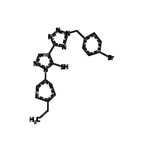 CCc1ccc(-n2ncc(-c3nnn(Cc4ccc(Br)cc4)n3)c2S)cc1